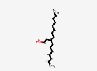 CCCCCCCCC(CCO)CCCCCCC